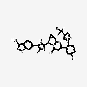 Nc1noc2cc(-c3[nH]c(C4C5CC5c5nc(-c6cc(Cl)ccc6-n6cc(C(F)(F)F)nn6)cc(=O)n54)nc3F)ccc12